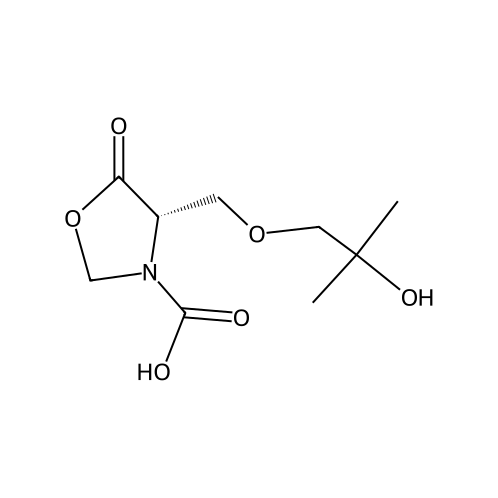 CC(C)(O)COC[C@H]1C(=O)OCN1C(=O)O